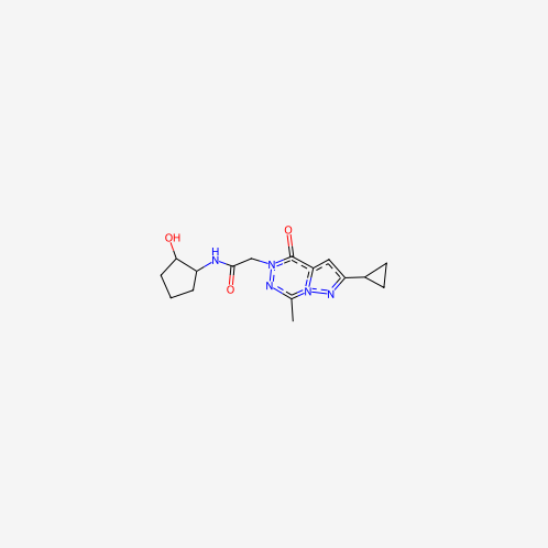 Cc1nn(CC(=O)NC2CCCC2O)c(=O)c2cc(C3CC3)nn12